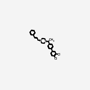 CC(c1ccc(-c2ccc(Cl)c(Cl)c2)cc1)N1CCN(C/C=C/c2ccccc2)CC1